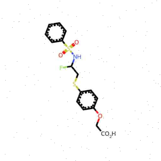 O=C(O)COc1ccc(SCC(F)NS(=O)(=O)c2ccccc2)cc1